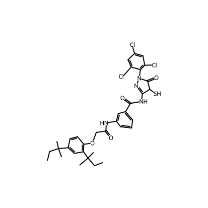 CCC(C)(C)c1ccc(OCC(=O)Nc2cccc(C(=O)NC3=NN(c4c(Cl)cc(Cl)cc4Cl)C(=O)C3S)c2)c(C(C)(C)CC)c1